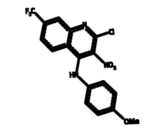 COc1ccc(Nc2c([N+](=O)[O-])c(Cl)nc3cc(C(F)(F)F)ccc23)cc1